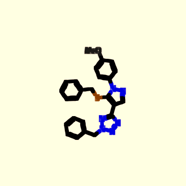 COc1ccc(-n2ncc(-c3nnn(Cc4ccccc4)n3)c2SCc2ccccc2)cc1